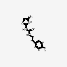 CCc1csc(NC(=O)NCCc2ccc(F)cc2)n1